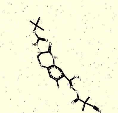 CC(C)(C)OC(=O)N[C@H]1CSc2cc(F)c(/C(N)=N/OC(=O)C(C)(C)C#N)cc2NC1=O